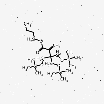 C=C(C(=O)O[SiH2]CCC)C([SiH2]O[Si](C)(C)C)([SiH2]O[Si](C)(C)C)[SiH2]O[Si](C)(C)C